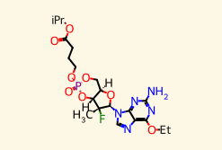 CCOc1nc(N)nc2c1ncn2[C@@H]1O[C@@H]2CO[P@@](=O)(OCCCC(=O)OC(C)C)O[C@H]2[C@@]1(C)F